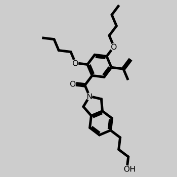 C=C(C)c1cc(C(=O)N2Cc3ccc(CCCO)cc3C2)c(OCCCC)cc1OCCCC